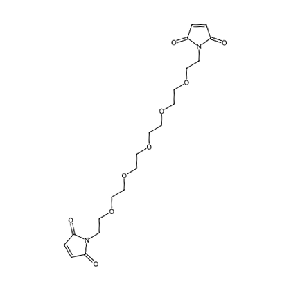 O=C1C=CC(=O)N1CCOCCOCCOCCOCCOCCN1C(=O)C=CC1=O